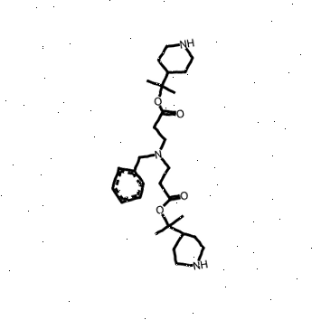 CC(C)(OC(=O)CCN(CCC(=O)OC(C)(C)C1CCNCC1)Cc1ccccc1)C1CCNCC1